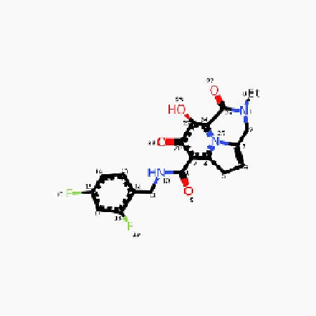 CCN1CC2=CCc3c(C(=O)NCc4ccc(F)cc4F)c(=O)c(O)c(n32)C1=O